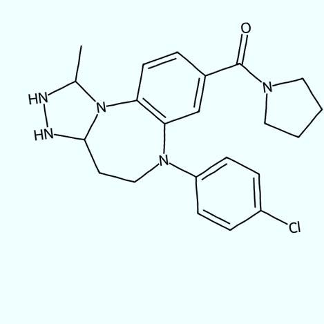 CC1NNC2CCN(c3ccc(Cl)cc3)c3cc(C(=O)N4CCCC4)ccc3N12